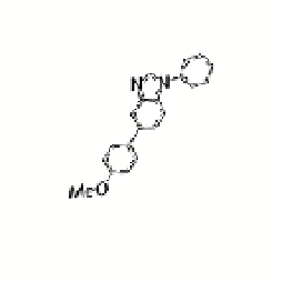 COc1ccc(-c2ccc3c(c2)ncn3-c2ccccc2)cc1